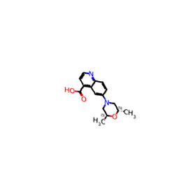 C[C@H]1CN(c2ccc3nccc(C(=O)O)c3c2)C[C@H](C)O1